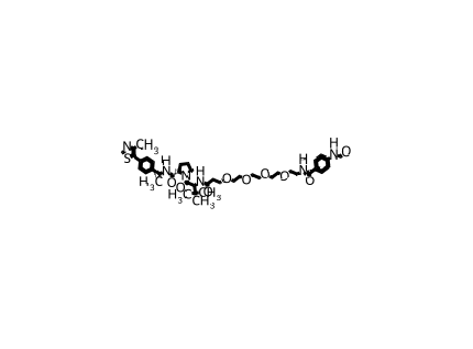 Cc1ncsc1-c1ccc([C@H](C)NC(=O)[C@@H]2CCCN2C(=O)C(NC(=O)CCOCCOCCOCCOCCNC(=O)c2ccc(NC=O)cc2)C(C)(C)C)cc1